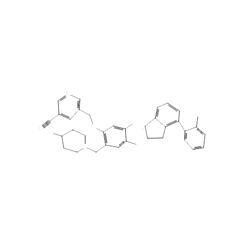 CC1CCN(Cc2cc(Cl)c(O[C@H]3CCc4c(-c5ccccc5F)cccc43)cc2OCc2cncc(C#N)c2)CC1